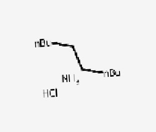 CCCCCCCCCC.Cl.N